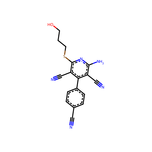 N#Cc1ccc(-c2c(C#N)c(N)nc(SCCCO)c2C#N)cc1